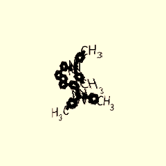 Cc1ccc(-c2nc(-c3ccc(C)cc3)nc(-c3cccc(-c4cccc5c4ccc4c(-c6cccc(-c7nc(-c8ccc(C)cc8)nc(-c8ccc(C)cc8)n7)c6)cccc45)c3)n2)cc1